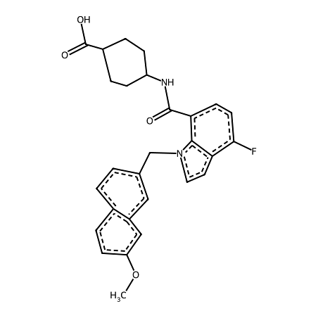 COc1ccc2ccc(Cn3ccc4c(F)ccc(C(=O)NC5CCC(C(=O)O)CC5)c43)cc2c1